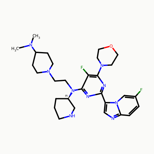 CN(C)C1CCN(CCN(c2nc(-c3cnc4ccc(F)cn34)nc(N3CCOCC3)c2F)[C@@H]2CCCNC2)CC1